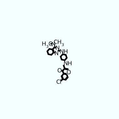 CN(C)c1nc(N[C@H]2CC[C@@H](NCc3coc4ccc(Cl)cc4c3=O)CC2)nc2c1CCCC2